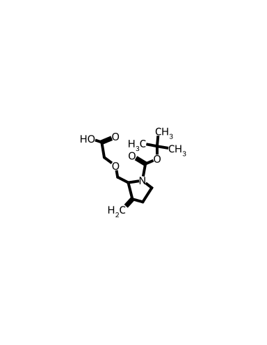 C=C1CCN(C(=O)OC(C)(C)C)C1COCC(=O)O